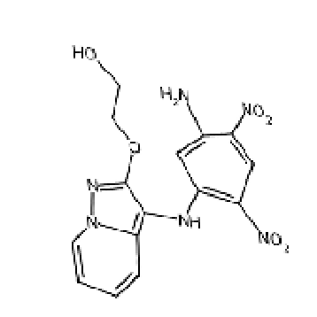 Nc1cc(Nc2c(OCCO)nn3ccccc23)c([N+](=O)[O-])cc1[N+](=O)[O-]